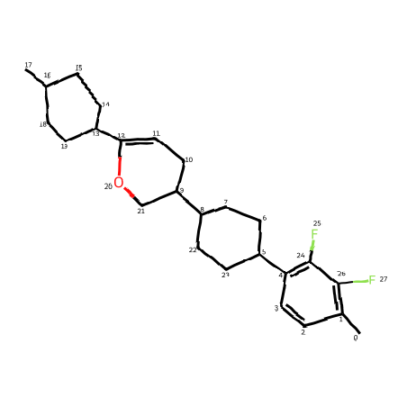 Cc1ccc(C2CCC(C3CC=C(C4CCC(C)CC4)OC3)CC2)c(F)c1F